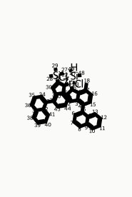 CC1=Cc2c(-c3cccc4ccccc34)ccc(C)c2[CH]1[Zr]([Cl])([Cl])([CH]1C([Si](C)(C)C)=Cc2c(-c3cccc4ccccc34)cccc21)[SiH](C)C